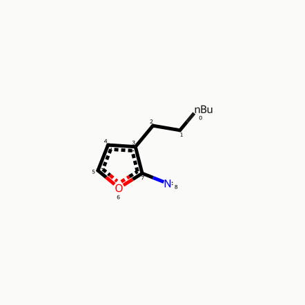 CCCCCCc1ccoc1[N]